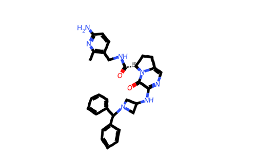 Cc1nc(N)ccc1CNC(=O)[C@@H]1CCc2cnc(NC3CN(C(c4ccccc4)c4ccccc4)C3)c(=O)n21